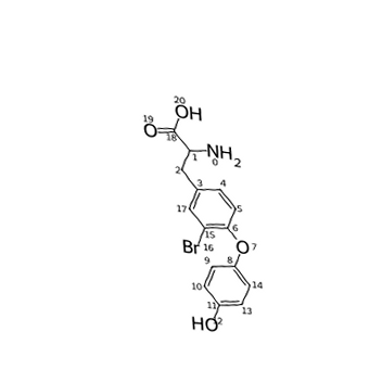 NC(Cc1ccc(Oc2ccc(O)cc2)c(Br)c1)C(=O)O